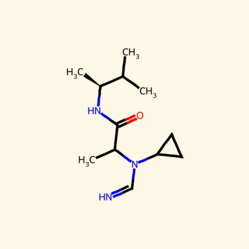 CC(C)[C@H](C)NC(=O)C(C)N(C=N)C1CC1